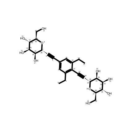 CCc1cc(C#C[C@H]2O[C@H](CO)[C@@H](O)[C@H](O)[C@@H]2O)cc(CC)c1C#C[C@H]1O[C@H](CO)[C@@H](O)[C@H](O)[C@@H]1O